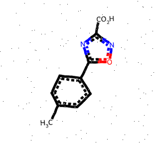 Cc1ccc(-c2nc(C(=O)O)no2)cc1